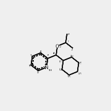 CC(C)OC(c1ccccn1)C1CCCCC1